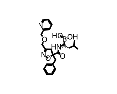 CC(C)C[C@H](NC(=O)C1(Cc2ccccc2)CC(COCc2ccccn2)=NO1)B(O)O